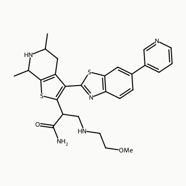 COCCNCC(C(N)=O)c1sc2c(c1-c1nc3ccc(-c4cccnc4)cc3s1)CC(C)NC2C